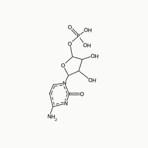 Nc1ccn(C2OC(OP(=O)(O)O)C(O)C2O)c(=O)n1